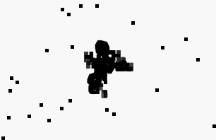 CC(C)(C)c1cc(-n2nc3ccc(C(F)(F)F)cc3n2)c(O)c(C(C)(C)c2ccccc2)c1